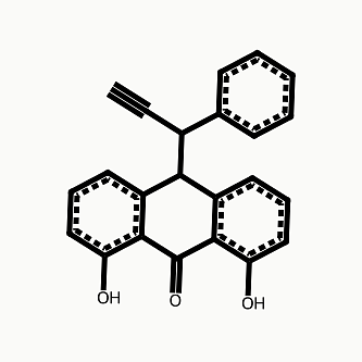 C#CC(c1ccccc1)C1c2cccc(O)c2C(=O)c2c(O)cccc21